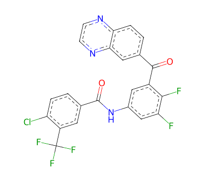 O=C(Nc1cc(F)c(F)c(C(=O)c2ccc3nccnc3c2)c1)c1ccc(Cl)c(C(F)(F)F)c1